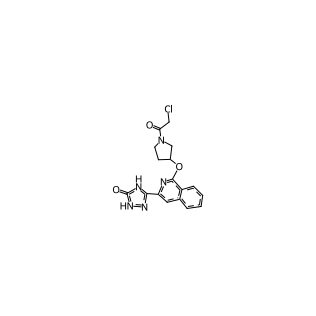 O=C(CCl)N1CCC(Oc2nc(-c3n[nH]c(=O)[nH]3)cc3ccccc23)C1